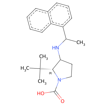 CC(NC1CCN(C(=O)O)[C@@H]1C(C)(C)C)c1cccc2ccccc12